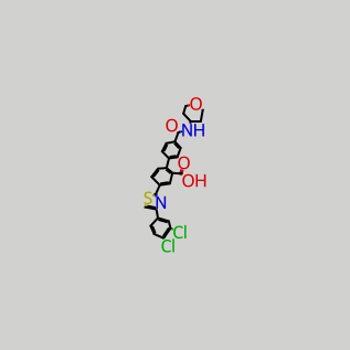 O=C(NC1CCOCC1)c1ccc(-c2ccc(-c3nc(-c4ccc(Cl)c(Cl)c4)cs3)cc2C(=O)O)cc1